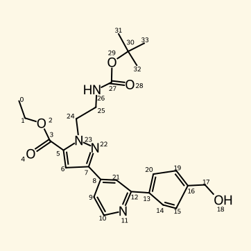 CCOC(=O)c1cc(-c2ccnc(-c3ccc(CO)cc3)c2)nn1CCNC(=O)OC(C)(C)C